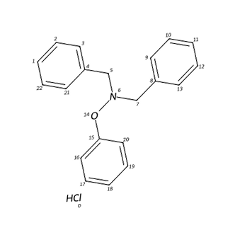 Cl.c1ccc(CN(Cc2ccccc2)Oc2ccccc2)cc1